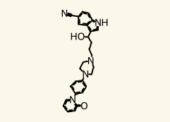 N#Cc1ccc2[nH]cc(C(O)CCCN3CCN(c4ccc(-n5ccccc5=O)cc4)CC3)c2c1